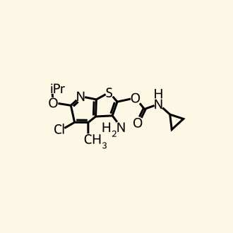 Cc1c(Cl)c(OC(C)C)nc2sc(OC(=O)NC3CC3)c(N)c12